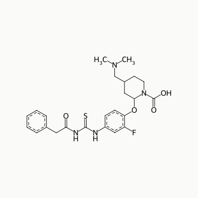 CN(C)CC1CCN(C(=O)O)C(Oc2ccc(NC(=S)NC(=O)Cc3ccccc3)cc2F)C1